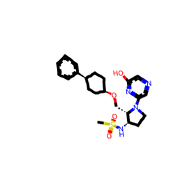 CS(=O)(=O)N[C@H]1CCN(c2cncc(O)n2)[C@H]1CO[C@H]1CC[C@@H](c2ccccc2)CC1